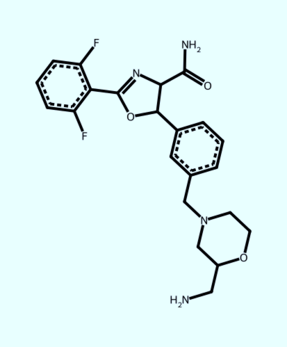 NCC1CN(Cc2cccc(C3OC(c4c(F)cccc4F)=NC3C(N)=O)c2)CCO1